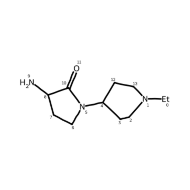 CCN1CCC(N2CCC(N)C2=O)CC1